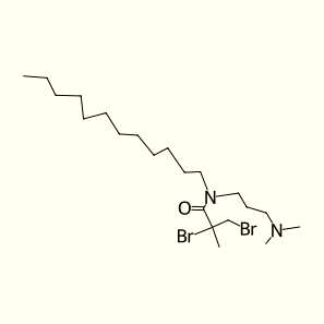 CCCCCCCCCCCCN(CCCN(C)C)C(=O)C(C)(Br)CBr